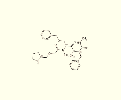 CNC(=O)[C@@H](Cc1ccccc1)N(C)C(=O)[C@@H](COCc1ccccc1)N(C)C(=O)COC[C@@H]1CCCN1